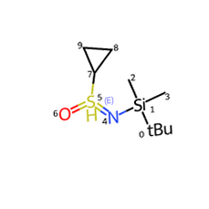 CC(C)(C)[Si](C)(C)/N=[SH](=O)\C1CC1